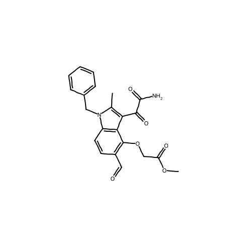 COC(=O)COc1c(C=O)ccc2c1c(C(=O)C(N)=O)c(C)n2Cc1ccccc1